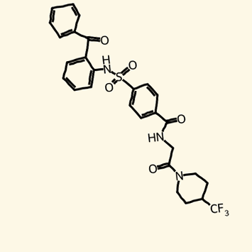 O=C(NCC(=O)N1CCC(C(F)(F)F)CC1)c1ccc(S(=O)(=O)Nc2ccccc2C(=O)c2ccccc2)cc1